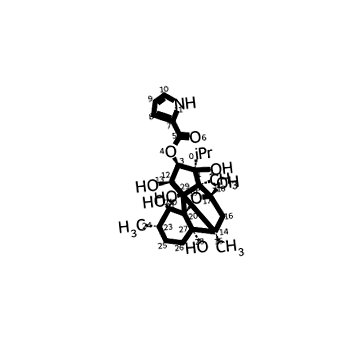 CC(C)[C@@]1(O)[C@H](OC(=O)c2ccc[nH]2)[C@@]2(O)[C@@]3(C)C[C@]4(O)O[C@]5([C@@H](O)[C@@H](C)CC[C@]35O)[C@@]2(O)[C@@]14C